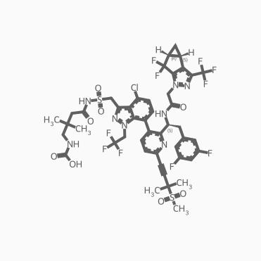 CC(C)(CNC(=O)O)CC(=O)NS(=O)(=O)Cc1nn(CC(F)(F)F)c2c(-c3ccc(C#CC(C)(C)S(C)(=O)=O)nc3[C@H](Cc3cc(F)cc(F)c3)NC(=O)Cn3nc(C(F)(F)F)c4c3C(F)(F)[C@@H]3C[C@H]43)ccc(Cl)c12